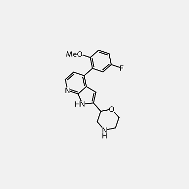 COc1ccc(F)cc1-c1ccnc2[nH]c(C3CNCCO3)cc12